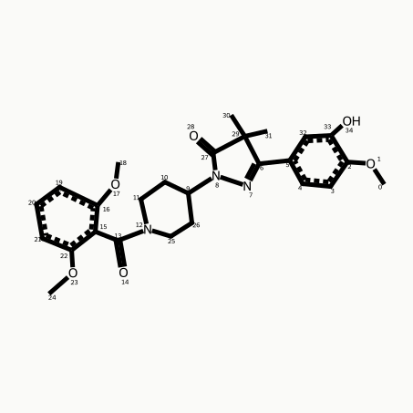 COc1ccc(C2=NN(C3CCN(C(=O)c4c(OC)cccc4OC)CC3)C(=O)C2(C)C)cc1O